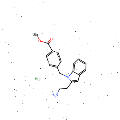 CC(C)(C)OC(=O)c1ccc(Cn2c(CCN)cc3ccccc32)cc1.Cl